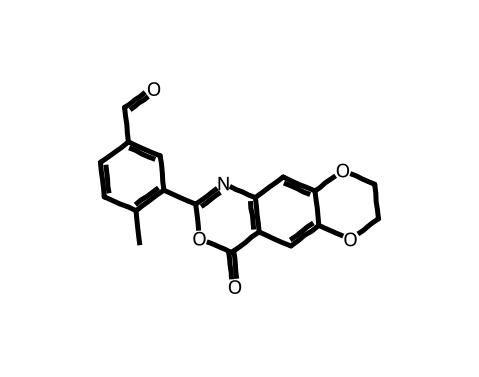 Cc1ccc(C=O)cc1-c1nc2cc3c(cc2c(=O)o1)OCCO3